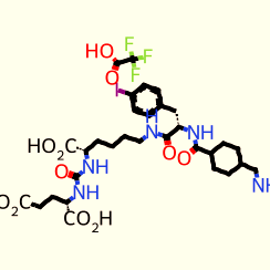 NCC1CCC(C(=O)N[C@@H](Cc2ccc(I)cc2)C(=O)NCCCC[C@H](NC(=O)N[C@@H](CCC(=O)O)C(=O)O)C(=O)O)CC1.O=C(O)C(F)(F)F